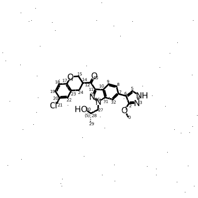 COc1n[nH]cc1-c1ccc2c(C(=O)C3COc4ccc(Cl)cc4C3)nn(C[C@H](C)O)c2c1